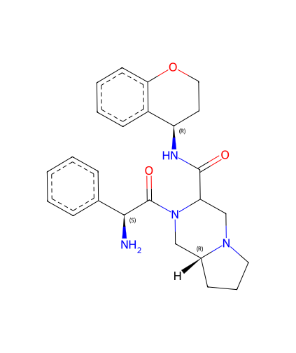 N[C@H](C(=O)N1C[C@H]2CCCN2CC1C(=O)N[C@@H]1CCOc2ccccc21)c1ccccc1